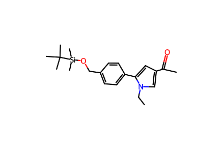 CCn1cc(C(C)=O)cc1-c1ccc(CO[Si](C)(C)C(C)(C)C)cc1